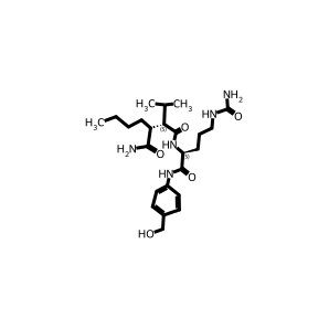 CCCCC(C(N)=O)[C@@H](C(=O)N[C@@H](CCCNC(N)=O)C(=O)Nc1ccc(CO)cc1)C(C)C